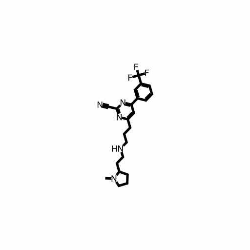 CN1CCCC1CCNCCCc1cc(-c2cccc(C(F)(F)F)c2)nc(C#N)n1